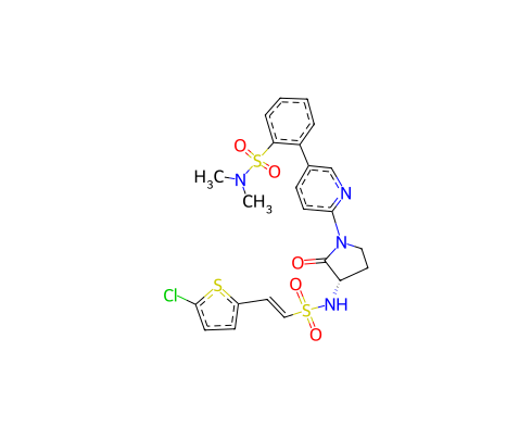 CN(C)S(=O)(=O)c1ccccc1-c1ccc(N2CC[C@H](NS(=O)(=O)C=Cc3ccc(Cl)s3)C2=O)nc1